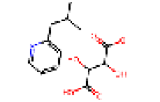 CC(C)Cc1ccccn1.O=C(O)C(O)C(O)C(=O)O